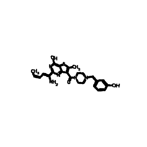 C/C=C\C=C(/N)c1nc(O)c2sc(C)c(C(=O)N3CCN(Cc4cccc(O)c4)CC3)c2n1